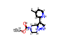 Cc1ccnc(-c2cnn3c2CN(C(=O)OC(C)(C)C)CC3)c1